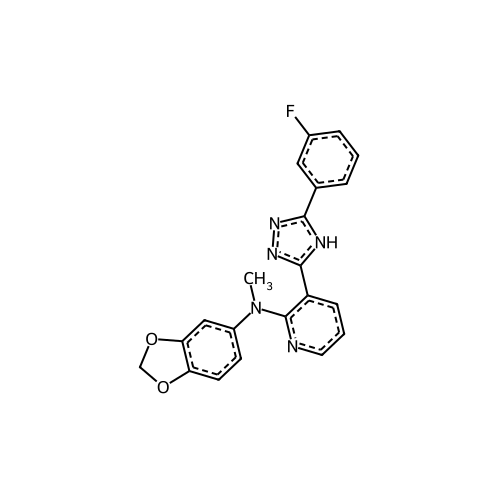 CN(c1ccc2c(c1)OCO2)c1ncccc1-c1nnc(-c2cccc(F)c2)[nH]1